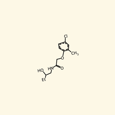 CCC(O)CNC(=O)COc1ccc(Cl)cc1C